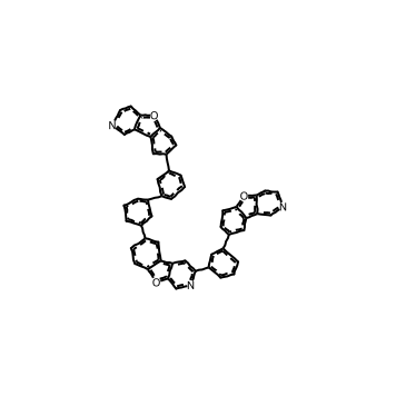 c1cc(-c2cccc(-c3ccc4oc5cnc(-c6cccc(-c7ccc8oc9ccncc9c8c7)c6)cc5c4c3)c2)cc(-c2ccc3oc4ccncc4c3c2)c1